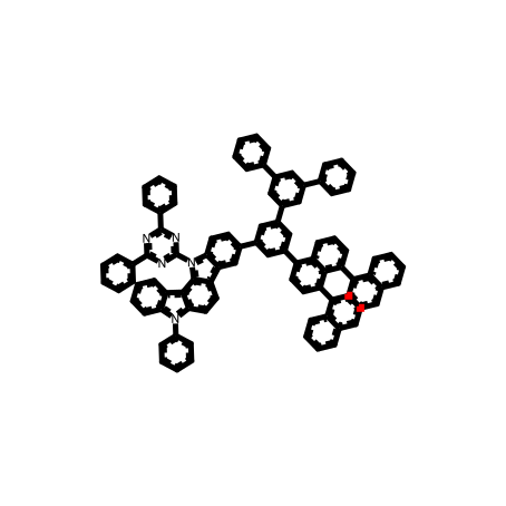 c1ccc(-c2cc(-c3ccccc3)cc(-c3cc(-c4ccc5c(c4)c4ccc6c(c7ccccc7n6-c6ccccc6)c4n5-c4nc(-c5ccccc5)nc(-c5ccccc5)n4)cc(-c4ccc(-c5cccc6ccccc56)c5c(-c6cccc7ccccc67)cccc45)c3)c2)cc1